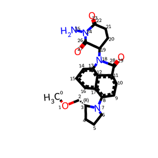 COC[C@H]1CCCN1c1ccc2c3c(cccc13)N(C1CCC(=O)N(N)C1=O)C2=O